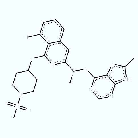 Cc1nc2c(N[C@@H](C)c3cc4cccc(Cl)c4c(OC4CCN(S(C)(=O)=O)CC4)n3)ncnc2[nH]1